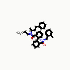 Cc1ccccc1CNC(=O)c1ccccc1-c1ccccc1C(=O)N(CCC(=O)O)C(C)CCc1ccccc1